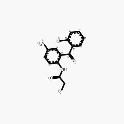 O=C(CBr)Nc1ccc([N+](=O)[O-])cc1C(=O)c1ccccc1Cl